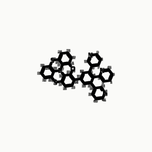 c1ccc(-c2c(-c3cccnc3)cc(-c3ccc4c5c3Oc3cccc6c3B5c3c(cccc3S4)S6)cc2-c2cccnc2)nc1